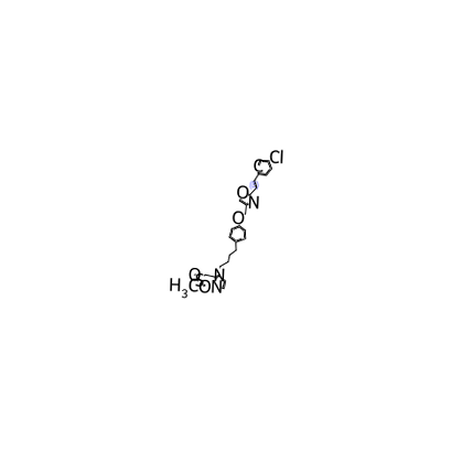 CS(=O)(=O)Cc1nccn1CCCCc1ccc(OCc2coc(/C=C/c3ccc(Cl)cc3)n2)cc1